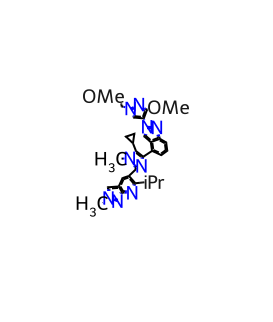 COCn1cc(-n2cc3c(-c4nc(-c5cc6cn(C)nc6nc5C(C)C)n(C)c4C4CC4)cccc3n2)c(OC)n1